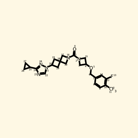 O=C(N1CC(OCc2ccc(C(F)(F)F)c(F)c2)C1)N1CC2(CC(n3cnc(C4CC4)n3)C2)C1